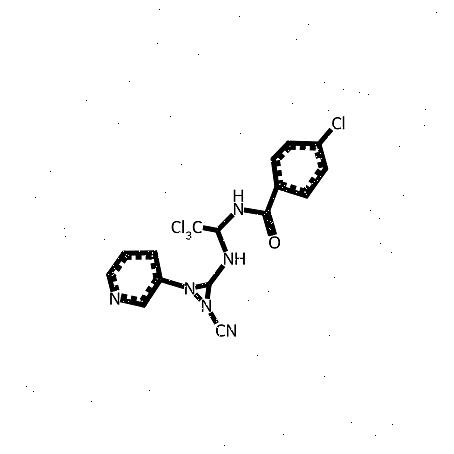 N#CN1C(NC(NC(=O)c2ccc(Cl)cc2)C(Cl)(Cl)Cl)N1c1cccnc1